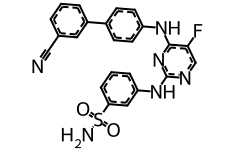 N#Cc1cccc(-c2ccc(Nc3nc(Nc4cccc(S(N)(=O)=O)c4)ncc3F)cc2)c1